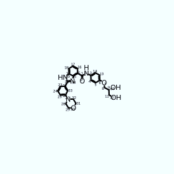 O=C(Nc1ccc(OC[C@H](O)CO)cc1)c1cccc2[nH]c(-c3cccc(N4CCOCC4)c3)nc12